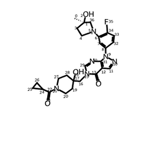 C[C@@]1(O)CCN(c2cc(-n3ncc4c(=O)n(CC5(O)CCN(C(=O)C6CC6)CC5)cnc43)ccc2F)C1